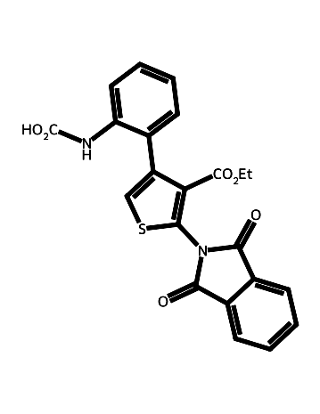 CCOC(=O)c1c(-c2ccccc2NC(=O)O)csc1N1C(=O)c2ccccc2C1=O